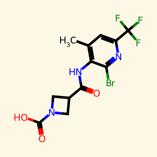 Cc1cc(C(F)(F)F)nc(Br)c1NC(=O)C1CN(C(=O)O)C1